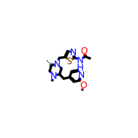 COc1cc(CC2CN(Cc3cnc(NC(C)=O)s3)[C@@H](C)CN2C)ccn1